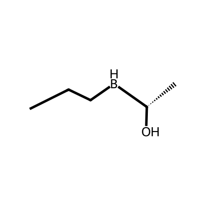 CCCB[C@H](C)O